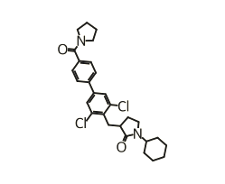 O=C(c1ccc(-c2cc(Cl)c(CC3CCN(C4CCCCC4)C3=O)c(Cl)c2)cc1)N1CCCC1